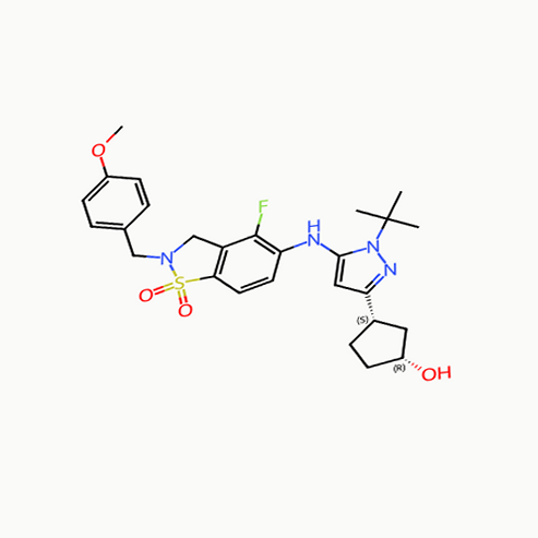 COc1ccc(CN2Cc3c(ccc(Nc4cc([C@H]5CC[C@@H](O)C5)nn4C(C)(C)C)c3F)S2(=O)=O)cc1